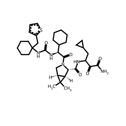 CC1(C)[C@@H]2[C@@H](C(=O)NC(CC3CC3)C(=O)C(N)=O)N(C(=O)[C@@H](NC(=O)NC3(Cc4cccs4)CCCCC3)C3CCCCC3)C[C@@H]21